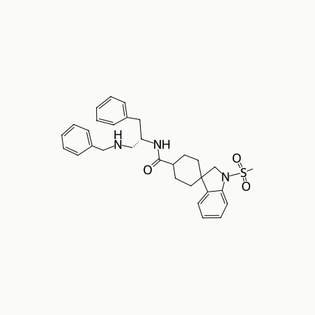 CS(=O)(=O)N1CC2(CCC(C(=O)N[C@H](CNCc3ccccc3)Cc3ccccc3)CC2)c2ccccc21